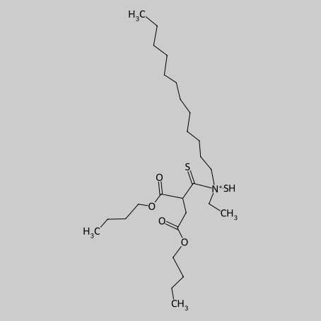 CCCCCCCCCCCC[N+](S)(CC)C(=S)C(CC(=O)OCCCC)C(=O)OCCCC